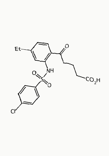 CCc1ccc(C(=O)CCCC(=O)O)c(NS(=O)(=O)c2ccc(Cl)cc2)c1